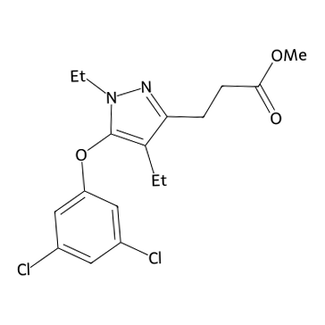 CCc1c(CCC(=O)OC)nn(CC)c1Oc1cc(Cl)cc(Cl)c1